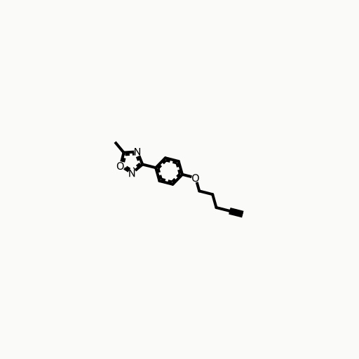 C#CCCCOc1ccc(-c2noc(C)n2)cc1